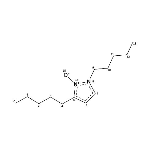 CCCCCc1ccn(CCCCC)[n+]1[O-]